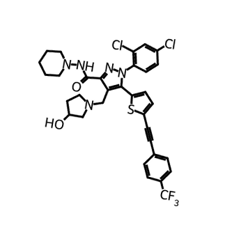 O=C(NN1CCCCC1)c1nn(-c2ccc(Cl)cc2Cl)c(-c2ccc(C#Cc3ccc(C(F)(F)F)cc3)s2)c1CN1CCC(O)C1